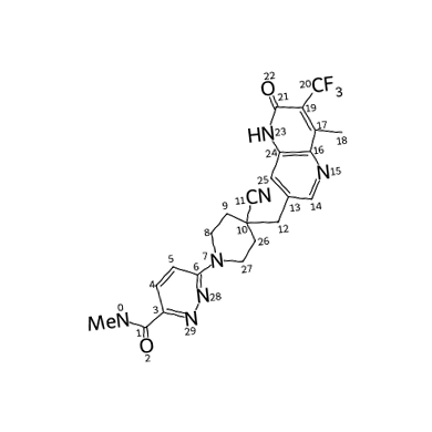 CNC(=O)c1ccc(N2CCC(C#N)(Cc3cnc4c(C)c(C(F)(F)F)c(=O)[nH]c4c3)CC2)nn1